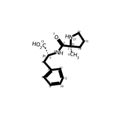 C[C@@]1(C(=O)N[C@H](Cc2ccccc2)C(=O)O)CCCN1